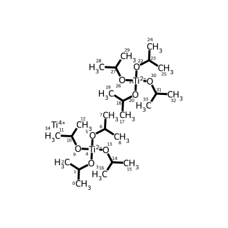 CC(C)[O][Ti-2]([O]C(C)C)([O]C(C)C)[O]C(C)C.CC(C)[O][Ti-2]([O]C(C)C)([O]C(C)C)[O]C(C)C.[Ti+4]